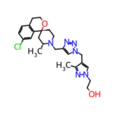 Cc1nn(CCO)cc1Cn1cc(CN2CC[C@]3(C[C@@H]2C)OCCc2ccc(Cl)cc23)nn1